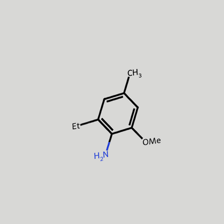 CCc1cc(C)cc(OC)c1N